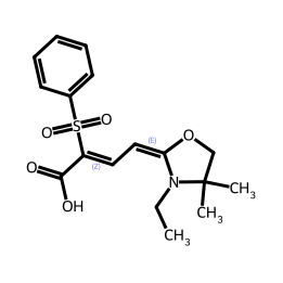 CCN1/C(=C\C=C(\C(=O)O)S(=O)(=O)c2ccccc2)OCC1(C)C